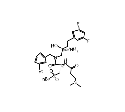 CCCCS(=O)(=O)C[C@@H](NC(=O)CCN(C)C)C(=O)N(Cc1cccc(CC)c1)C[C@@H](O)[C@@H](N)Cc1cc(F)cc(F)c1